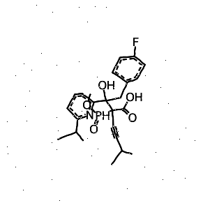 CO[PH](=O)C(C#CC(C)C)(C(=O)O)C(O)(Cc1ccc(F)cc1)c1cccc(C(C)C)n1